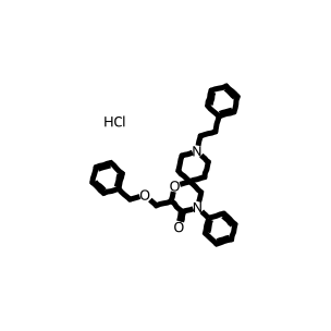 Cl.O=C1C(COCc2ccccc2)OC2(CCN(CCc3ccccc3)CC2)CN1c1ccccc1